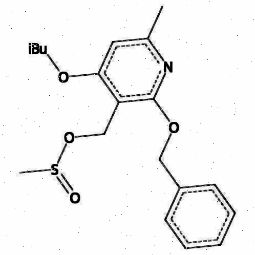 CCC(C)Oc1cc(C)nc(OCc2ccccc2)c1COS(C)=O